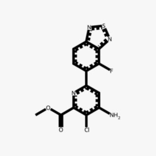 COC(=O)c1nc(-c2ccc3nsnc3c2F)cc(N)c1Cl